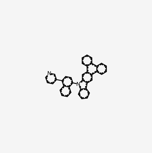 c1cncc(-c2ccc(-n3c4ccccc4c4cc5c6ccccc6c6ccccc6c5cc43)c3ccccc23)c1